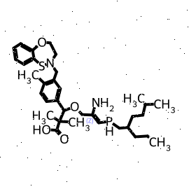 CCCC(CCC(C)C)CP/C=C(\N)COC(c1ccc(C)c(CN2CCOc3ccccc3S2)c1)C(C)(C)C(=O)O